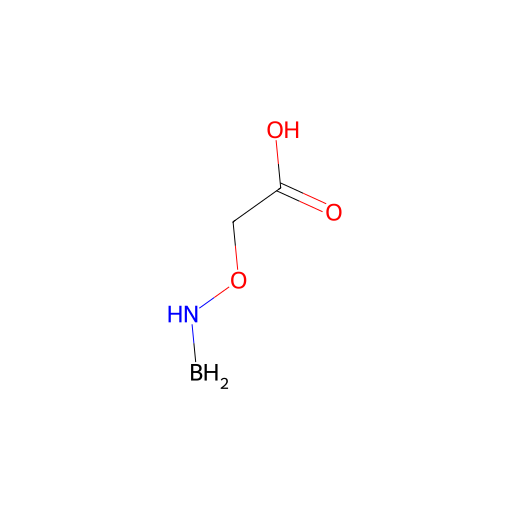 BNOCC(=O)O